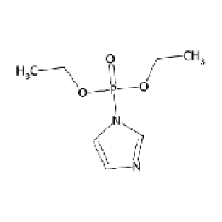 CCOP(=O)(OCC)n1ccnc1